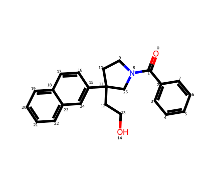 O=C(c1ccccc1)N1CCC(CCO)(c2ccc3ccccc3c2)C1